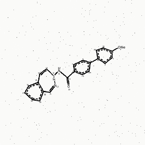 COc1ccc(-c2ccc(C(=O)N[SH]3C=Cc4ccccc4C=N3)cc2)cc1